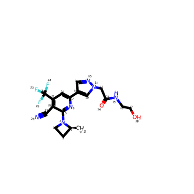 C[C@H]1CCN1c1nc(-c2cnn(CC(=O)NCCO)c2)cc(C(F)(F)F)c1C#N